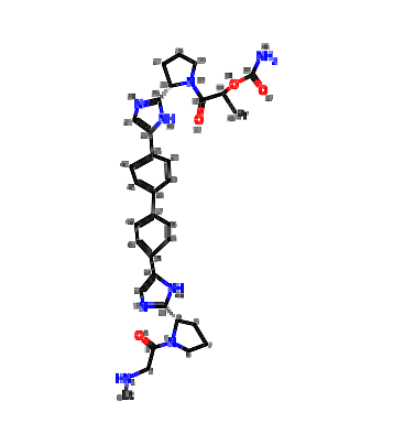 CCNCC(=O)N1CCC[C@H]1c1ncc(-c2ccc(-c3ccc(-c4cnc([C@@H]5CCCN5C(=O)C(OC(N)=O)C(C)C)[nH]4)cc3)cc2)[nH]1